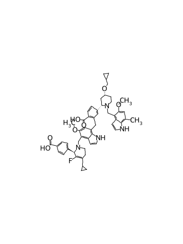 COc1cc(C)c2[nH]ccc2c1CN1CC[C@@H](OCC2CC2)C[C@H]1c1ccc(C(=O)O)c(Cc2cc(OC)c(CN3CCC(C4CC4)=C(F)[C@H]3c3ccc(C(=O)O)cc3)c3cc[nH]c23)c1